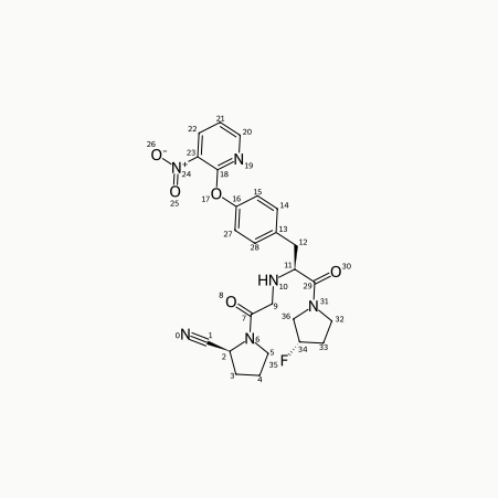 N#C[C@@H]1CCCN1C(=O)CN[C@@H](Cc1ccc(Oc2ncccc2[N+](=O)[O-])cc1)C(=O)N1CC[C@H](F)C1